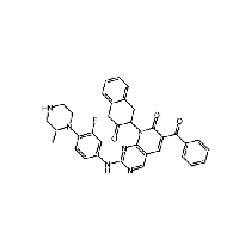 CC1CNCCN1c1ccc(Nc2ncc3cc(C(=O)c4ccccc4)c(=O)n(C4Cc5ccccc5CC4=O)c3n2)cc1F